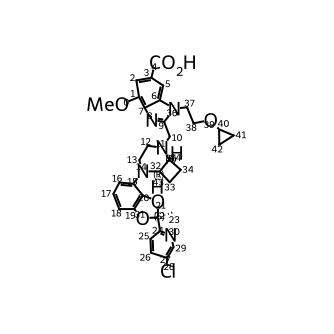 COc1cc(C(=O)O)cc2c1nc(CN1CCN(c3cccc4c3O[C@@](C)(c3ccc(Cl)cn3)O4)[C@@H]3CC[C@@H]31)n2CCOC1CC1